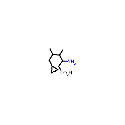 CC(CC1CC1)C(C)C(N)CC(=O)O